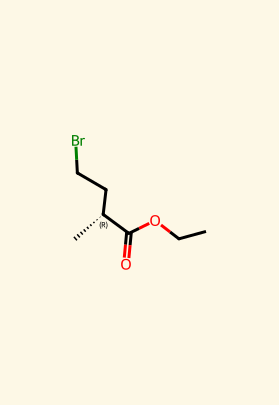 CCOC(=O)[C@H](C)CCBr